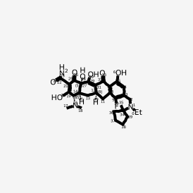 CCN(Cc1cc(O)c2c(c1F)C[C@H]1C[C@H]3[C@H](N(C)C)C(O)=C(C(N)=O)C(=O)[C@@]3(O)C(O)=C1C2=O)C1(C)CCCC1